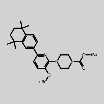 CCCCOc1ccc(-c2ccc3c(c2)C(C)(C)CCC3(C)C)nc1N1CCN(C(=O)OC(C)(C)C)CC1